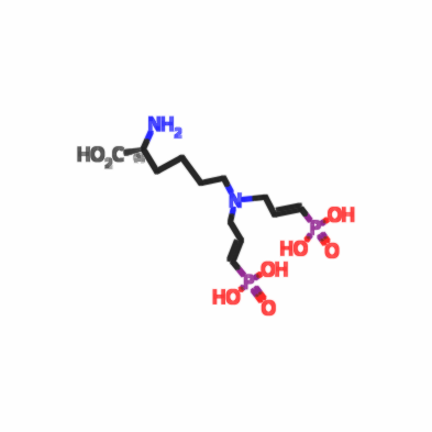 N[C@@H](CCCCN(CC=CP(=O)(O)O)CC=CP(=O)(O)O)C(=O)O